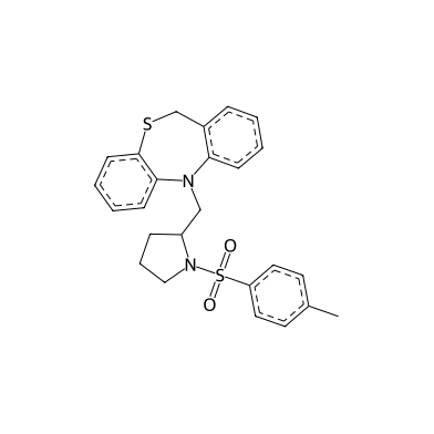 Cc1ccc(S(=O)(=O)N2CCCC2CN2c3ccccc3CSc3ccccc32)cc1